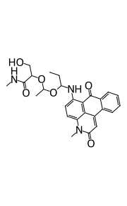 CCC(Nc1ccc2c3c(cc(=O)n2C)-c2ccccc2C(=O)c13)OC(C)OC(CO)C(=O)NC